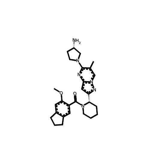 COc1cc2c(cc1C(=O)N1CCCC[C@H]1c1cc3nc(N4CC[C@H](N)C4)c(C)cn3n1)CCC2